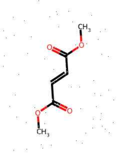 COC(=O)C=CC(=O)OC